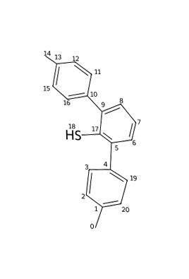 Cc1ccc(-c2cccc(-c3ccc(C)cc3)c2S)cc1